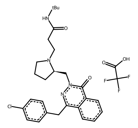 CC(C)(C)NC(=O)CCN1CCC[C@@H]1Cn1nc(Cc2ccc(Cl)cc2)c2ccccc2c1=O.O=C(O)C(F)(F)F